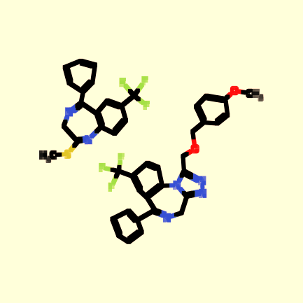 COc1ccc(COCc2nnc3n2-c2ccc(C(F)(F)F)cc2C(c2ccccc2)=NC3)cc1.CSC1=Nc2ccc(C(F)(F)F)cc2C(c2ccccc2)=NC1